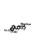 CNC(=O)c1cccnc1Nc1ccc(Cc2ccnc3cc(OC)c(OC)cc23)cc1